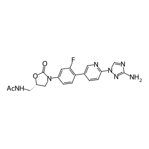 CC(=O)NC[C@H]1CN(c2ccc(-c3ccc(-n4cnc(N)n4)nc3)c(F)c2)C(=O)O1